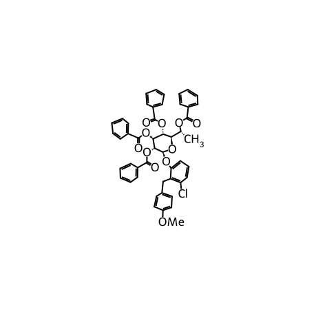 COc1ccc(Cc2c(Cl)cccc2O[C@@H]2O[C@H]([C@@H](C)OC(=O)c3ccccc3)[C@@H](OC(=O)c3ccccc3)[C@H](OC(=O)c3ccccc3)[C@H]2OC(=O)c2ccccc2)cc1